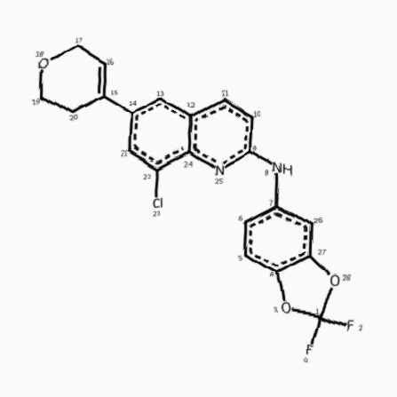 FC1(F)Oc2ccc(Nc3ccc4cc(C5=CCOCC5)cc(Cl)c4n3)cc2O1